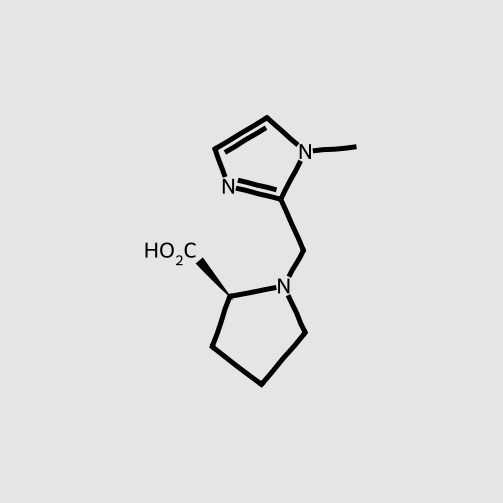 Cn1ccnc1CN1CCC[C@H]1C(=O)O